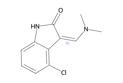 CN(C)/C=C1\C(=O)Nc2cccc(Cl)c21